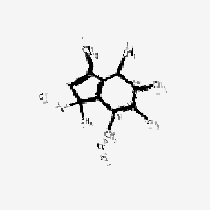 CC1=C[C](C)([Ti+3])C2=C1C(C)C(C)C(C)C2C.[Cl-].[Cl-].[Cl-]